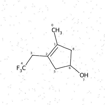 CC1=C(CC(F)(F)F)CC(O)C1